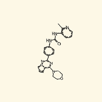 Cc1ncccc1NC(=O)Nc1ccc(-c2nc(N3CCOCC3)c3cccn3n2)cc1